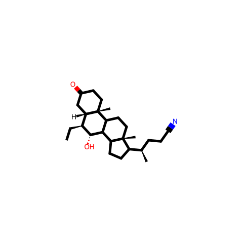 CC[C@@H]1[C@@H](O)C2C3CCC([C@H](C)CCC#N)[C@@]3(C)CCC2[C@@]2(C)CCC(=O)C[C@@H]12